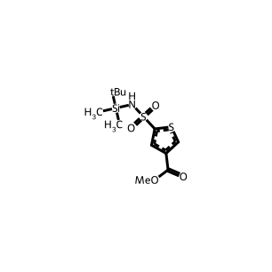 COC(=O)c1csc(S(=O)(=O)N[Si](C)(C)C(C)(C)C)c1